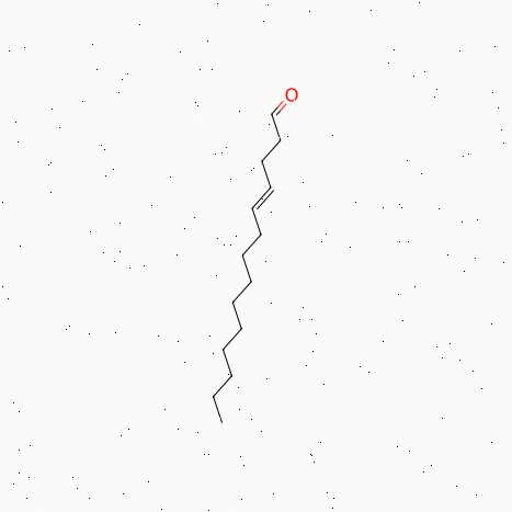 CCCCCCCCC/C=C/CCC=O